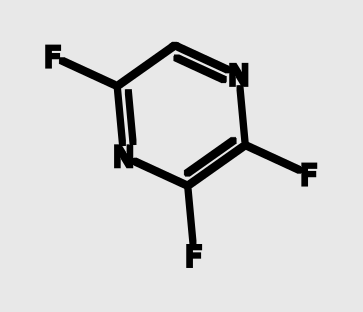 Fc1cnc(F)c(F)n1